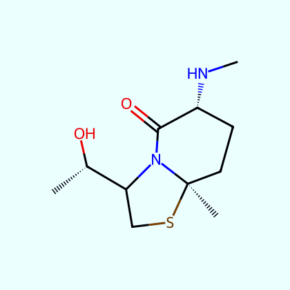 CN[C@@H]1CC[C@@]2(C)SCC([C@H](C)O)N2C1=O